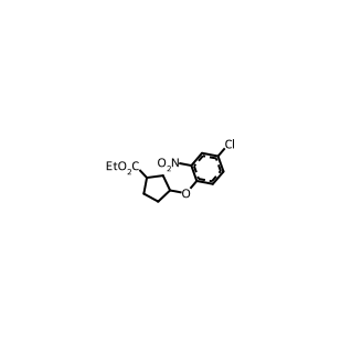 CCOC(=O)C1CCC(Oc2ccc(Cl)cc2[N+](=O)[O-])C1